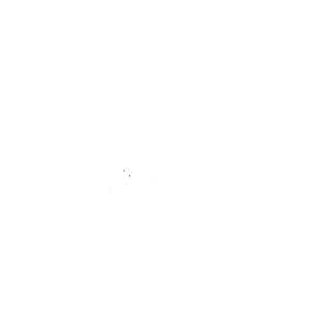 CCC1(c2ccccc2)C2CCCCC2CN1F